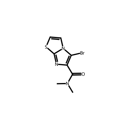 CN(C)C(=O)c1nc2sccn2c1Br